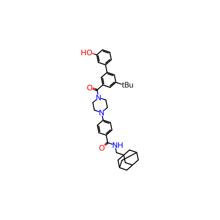 CC(C)(C)c1cc(C(=O)N2CCN(c3ccc(C(=O)NCC45CC6CC(CC(C6)C4)C5)cc3)CC2)cc(-c2cccc(O)c2)c1